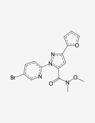 CON(C)C(=O)c1cc(-c2ccco2)nn1-c1ccc(Br)cn1